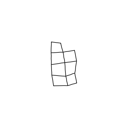 C1CC23CC4C5CC6CC7C(C12)C43C657